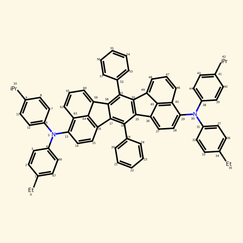 CCc1ccc(N(c2ccc(C(C)C)cc2)c2ccc3c4c(-c5ccccc5)c5c6ccc(N(c7ccc(CC)cc7)c7ccc(C(C)C)cc7)c7cccc(c5c(-c5ccccc5)c4c4cccc2c43)c76)cc1